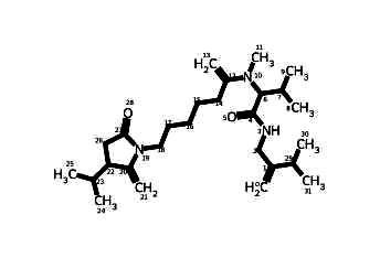 C=C(CNC(=O)C(C(C)C)N(C)C(=C)CCCCCN1C(=C)C(C(C)C)CC1=O)C(C)C